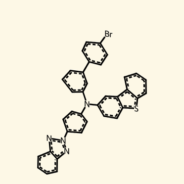 Brc1ccc(-c2cccc(N(c3ccc(-n4nc5ccccc5n4)cc3)c3ccc4sc5ccccc5c4c3)c2)cc1